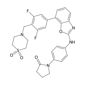 O=C1CCCN1c1ccc(Nc2nc3cccc(-c4cc(F)c(CN5CCS(=O)(=O)CC5)c(F)c4)c3o2)cc1